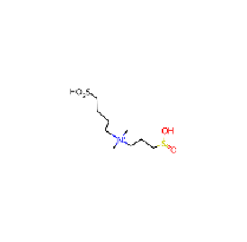 C[N+](C)(CCCCS(=O)(=O)O)CCCS(=O)O